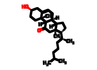 CC(C)CCC[C@@H](C)[C@H]1CC[C@H]2[C@@H]3CC=C4C[C@@H](O)CC[C@]4(C)[C@H]3C(=O)C[C@]12C